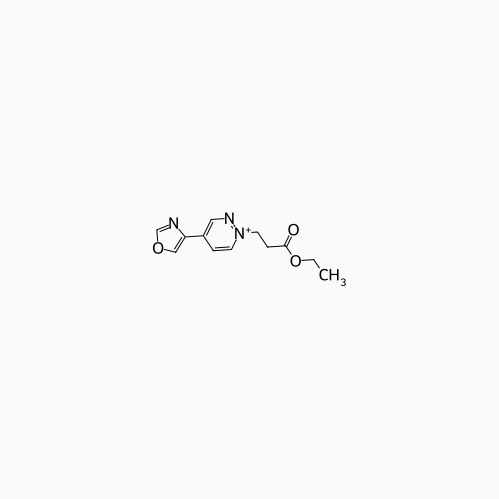 CCOC(=O)CC[n+]1ccc(-c2cocn2)cn1